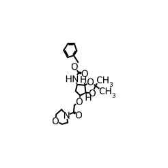 CC1(C)O[C@@H]2[C@H](O1)[C@@H](OCC(=O)N1CCOCC1)C[C@H]2NC(=O)OCc1ccccc1